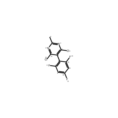 Cc1nc(Cl)c(-c2c(F)cc(F)cc2F)c(Cl)n1